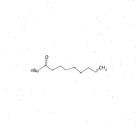 C=CCCCCCCC(=O)CCCC